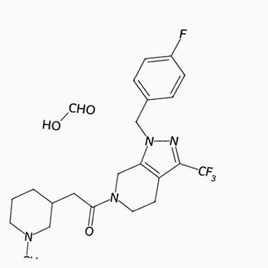 CN1CCCC(CC(=O)N2CCc3c(C(F)(F)F)nn(Cc4ccc(F)cc4)c3C2)C1.O=CO